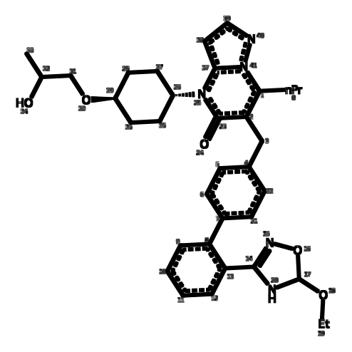 CCCc1c(Cc2ccc(-c3ccccc3C3=NOC(OCC)N3)cc2)c(=O)n([C@H]2CC[C@H](OCC(C)O)CC2)c2ccnn12